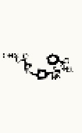 CCN(C(=O)c1ccccc1)c1nnc(-c2ccc(CN3CC(C(=O)OC=O)C3)cc2)s1